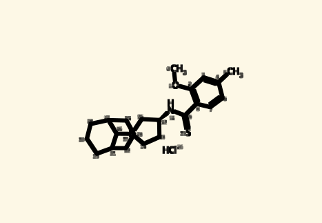 COc1cc(C)ccc1C(=S)N[C@H]1CCN(C2C3CCCC2CCC3)C1.Cl